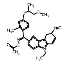 CCn1c2c(c3cc(/C(=N\OC(C)=O)c4ccc(OC(C)COC)cc4C)ccc31)CC(N=O)C=C2